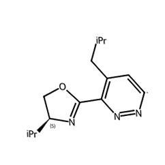 CC(C)Cc1c[c]nnc1C1=N[C@@H](C(C)C)CO1